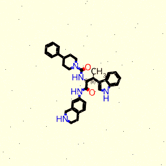 C[C@H](c1c[nH]c2ccccc12)[C@@H](NC(=O)N1CCC(c2ccccc2)CC1)C(=O)Nc1ccc2c(c1)CNCC2